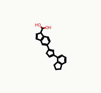 OC(O)C1C=Cc2cc(C3=CC(c4cccc5c4CCC5)=CC3)ccc21